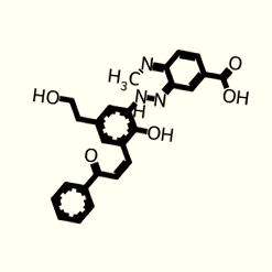 C/N=C1/C=CC(C(=O)O)=C/C1=N/Nc1cc(CCO)cc(/C=C\C(=O)c2ccccc2)c1O